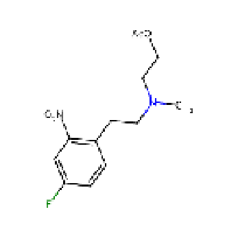 CC(=O)OCCN(C)CCc1ccc(F)cc1[N+](=O)[O-]